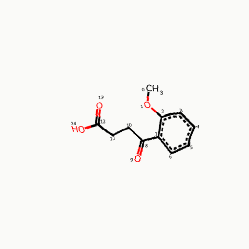 COc1ccccc1C(=O)CCC(=O)O